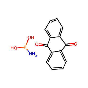 NP(O)O.O=C1c2ccccc2C(=O)c2ccccc21